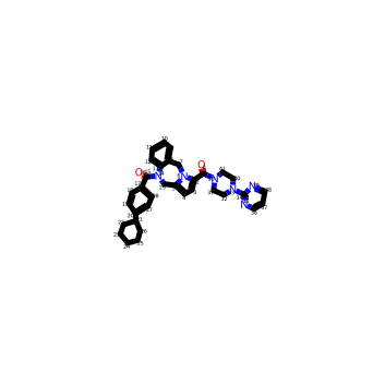 O=C(c1ccc2n1Cc1ccccc1N(C(=O)c1ccc(C3CCCCC3)cc1)C2)N1CCN(c2ncccn2)CC1